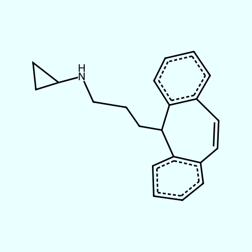 C1=Cc2ccccc2C(CCCNC2CC2)c2ccccc21